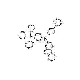 c1ccc(-c2ccc(N(c3ccc(C(c4ccccc4)(c4ccccc4)c4ccccc4)cc3)c3ccc4c(c3)sc3ccccc34)cc2)cc1